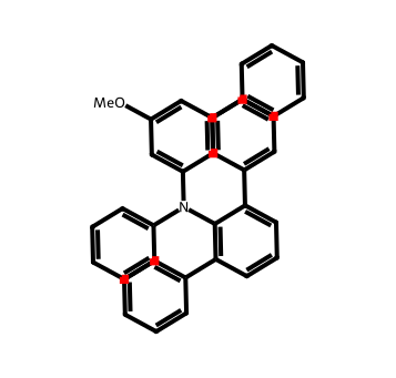 COc1cc(-c2ccccc2)cc(N(c2ccccc2)c2c(-c3ccccc3)cccc2-c2ccccc2)c1